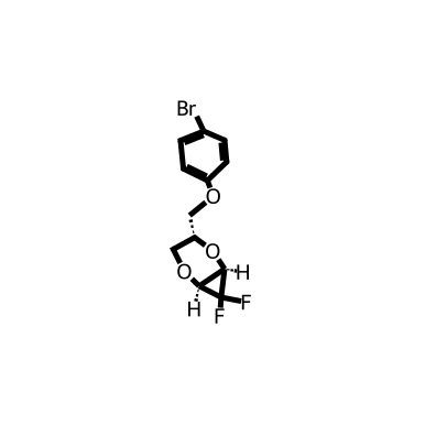 FC1(F)[C@@H]2O[C@@H](COc3ccc(Br)cc3)CO[C@@H]21